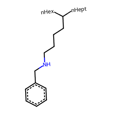 CCCCCCCC(CCCCCC)CCCCNCc1ccccc1